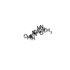 Cn1cnc2ncn(Cc3nc([C@]45C6=C(c7ccccc7)C[C@@H]4[C@H]65)no3)c(=O)c21